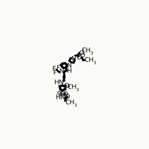 CCC(=O)NS(=O)(=O)c1ccc(NCC#Cc2cc3c(NC4CCN(CC(COC)OC(=O)CC)CC4)cccc3n2CC(F)(F)F)c(OC)c1